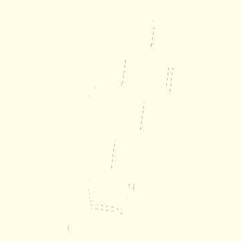 Sc1nnc(/C=C/c2ccc(Cl)cc2Cl)o1